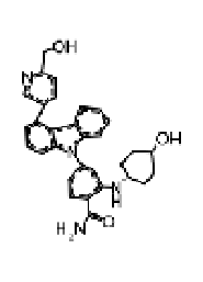 NC(=O)c1ccc(-n2c3ccccc3c3c(-c4ccc(CO)nc4)cccc32)cc1N[C@H]1CC[C@H](O)CC1